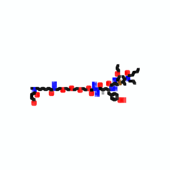 CCCCC(=O)N(CCC)C(C[C@@H](OCCC)c1nc(C(=O)N[C@@H](Cc2ccc(O)cc2)C[C@H](C)C(=O)NNC(=O)OCCOCCOCCOCCNC(=O)CCCCCN(C)C(=O)/C=C\C=O)cs1)C(C)C